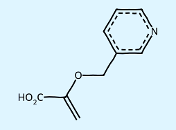 C=C(OCc1cccnc1)C(=O)O